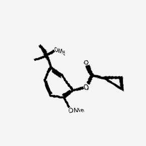 COc1ccc(C(C)(C)OC)cc1OC(=O)C1CC1